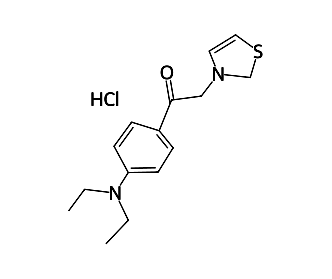 CCN(CC)c1ccc(C(=O)CN2C=CSC2)cc1.Cl